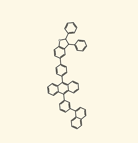 c1ccc(C2Oc3ccc(-c4ccc(-c5c6ccccc6c(-c6cccc(-c7cccc8ccccc78)c6)c6ccccc56)cc4)cc3C2c2ccccc2)cc1